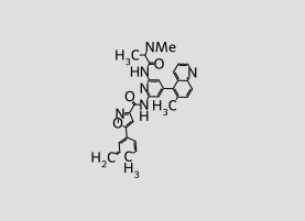 C=C/C=C(\C=C/C)c1cc(C(=O)Nc2cc(-c3c(C)ccc4ncccc34)cc(NC(=O)C(C)NC)n2)no1